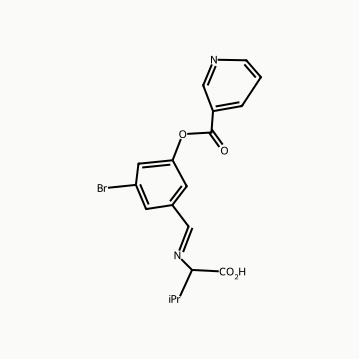 CC(C)C(N=Cc1cc(Br)cc(OC(=O)c2cccnc2)c1)C(=O)O